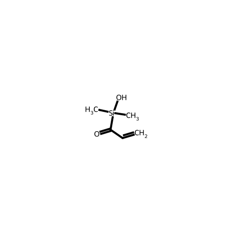 C=CC(=O)[Si](C)(C)O